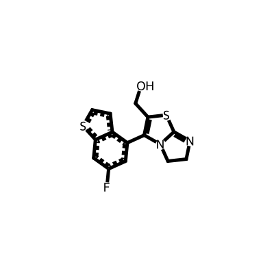 OCC1=C(c2cc(F)cc3sccc23)N2CCN=C2S1